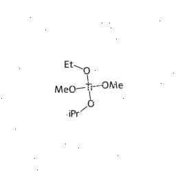 CC[O][Ti]([O]C)([O]C)[O]C(C)C